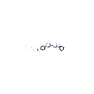 CCN1/C(=C\C=C2\SC(=S)N(c3ccc(NNC(C)=O)cc3)C2=O)Oc2ccccc21